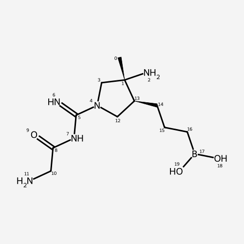 C[C@]1(N)CN(C(=N)NC(=O)CN)C[C@@H]1CCCB(O)O